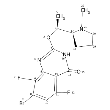 C[C@H](Oc1nc2c(F)c(Br)cc(F)c2c(=O)[nH]1)[C@@H]1CCCN1C